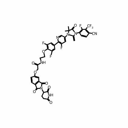 C=C1N(c2ccc(C#N)c(C(F)(F)F)c2F)C(=O)C(C)(C)N1c1cnc(-c2cc(F)c(OCCNC(=O)COc3ccc4c(c3)C(=O)N(C3CCC(=O)NC3=O)C4=O)c(F)c2)c(F)c1